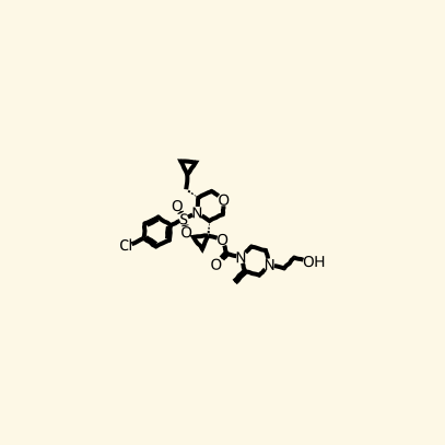 C=C1CN(CCO)CCN1C(=O)OC1([C@H]2COC[C@@H](CC3CC3)N2S(=O)(=O)c2ccc(Cl)cc2)CC1